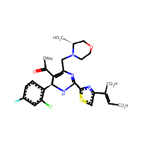 COC(=O)C1=C(CN2CCOC[C@H]2C(=O)O)N=C(c2nc(/C(=C/C(=O)O)C(=O)O)cs2)N[C@H]1c1ccc(F)cc1Cl